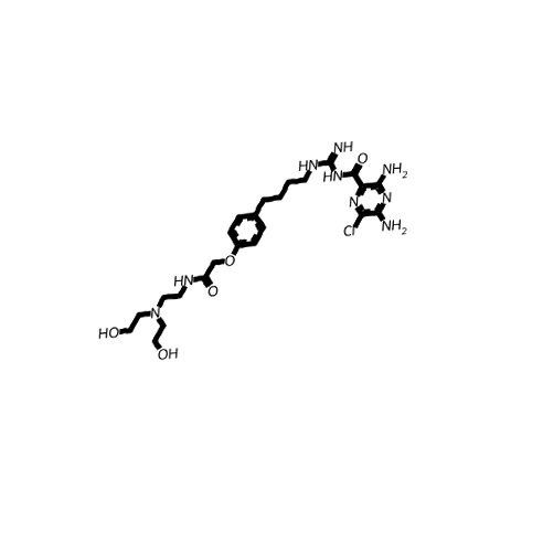 N=C(NCCCCc1ccc(OCC(=O)NCCN(CCO)CCO)cc1)NC(=O)c1nc(Cl)c(N)nc1N